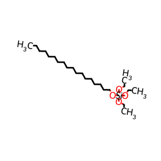 CCCCCCCCCCCCCCCCCCO[Si](OCC)(OCC)OCC